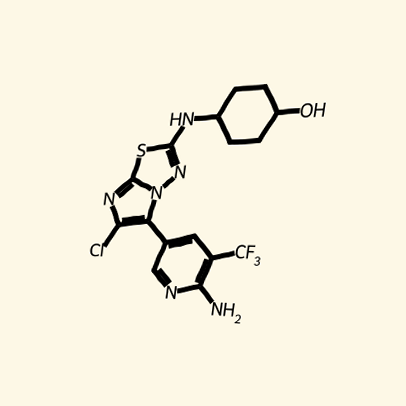 Nc1ncc(-c2c(Cl)nc3sc(NC4CCC(O)CC4)nn23)cc1C(F)(F)F